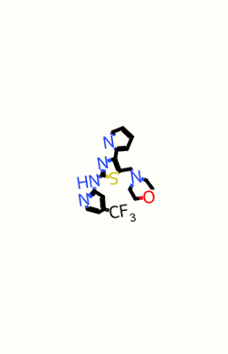 FC(F)(F)c1ccnc(Nc2nc(-c3ccccn3)c(CN3CCOCC3)s2)c1